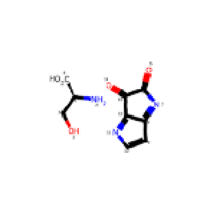 N[C@@H](CO)C(=O)O.O=c1nc2ccnc-2c1=O